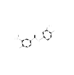 O=CNc1cc(C(=O)Nc2ccc(O)c(O)c2)ccc1O